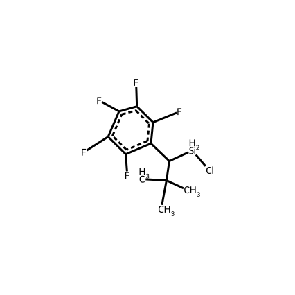 CC(C)(C)C([SiH2]Cl)c1c(F)c(F)c(F)c(F)c1F